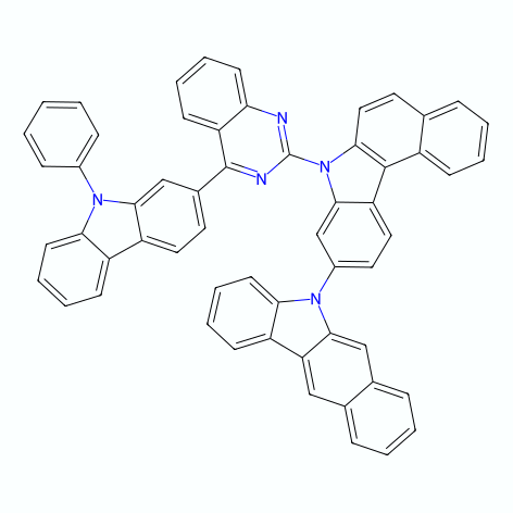 c1ccc(-n2c3ccccc3c3ccc(-c4nc(-n5c6cc(-n7c8ccccc8c8cc9ccccc9cc87)ccc6c6c7ccccc7ccc65)nc5ccccc45)cc32)cc1